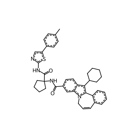 Cc1ccc(-c2cnc(NC(=O)C3(NC(=O)c4ccc5c(C6CCCCC6)c6n(c5c4)CC=Cc4ccccc4-6)CCCC3)s2)cc1